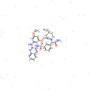 COc1cc(Nc2nc3ccccc3nc2NS(=O)(=O)c2cccc(C(C(N)=O)N3CCC(C)CC3)c2)cc(OC)c1